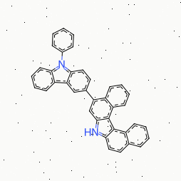 c1ccc(-n2c3ccccc3c3cc(-c4cc5[nH]c6ccc7ccccc7c6c5c5ccccc45)ccc32)cc1